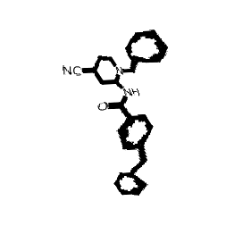 N#CC1CCN(Cc2ccccc2)C(NC(=O)c2ccc(Cc3ccccc3)cc2)C1